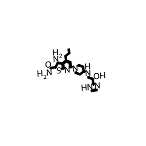 CCCc1cc(N2CCC(NCC(O)c3ncc[nH]3)CC2)nc2c1C(N)C(C(N)=O)S2